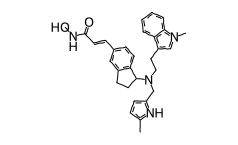 Cc1ccc(CN(CCc2cn(C)c3ccccc23)C2CCc3cc(C=CC(=O)NO)ccc32)[nH]1